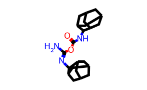 NC(=NC1C2CC3CC(C2)CC1C3)OC(=O)NC1C2CC3CC(C2)CC1C3